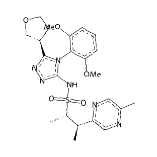 COc1cccc(OC)c1-n1c(NS(=O)(=O)[C@@H](C)[C@H](C)c2cnc(C)cn2)nnc1[C@@H]1CCOC1